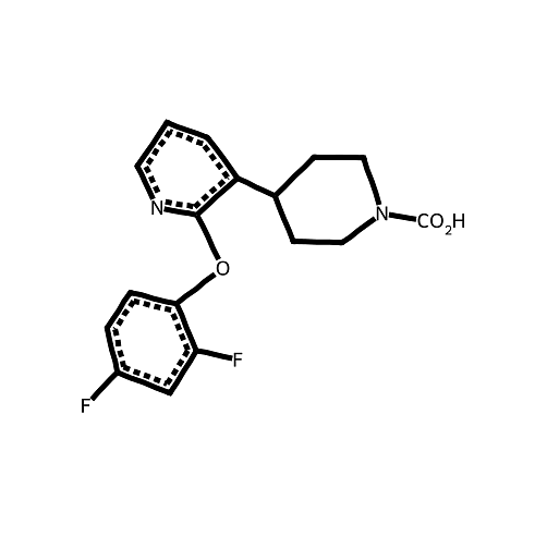 O=C(O)N1CCC(c2cccnc2Oc2ccc(F)cc2F)CC1